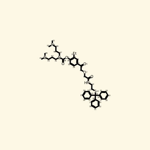 CCc1cc(C(=O)COCC(=O)NCCSC(c2ccccc2)(c2ccccc2)c2ccccc2)ccc1OC(=O)N(CCCN(C)C)CCCN(C)C